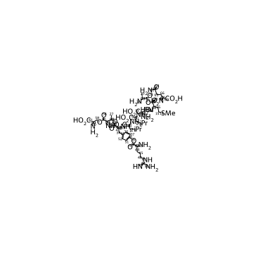 CC(C)C[C@H](N)C(=O)O.CC(C)C[C@H](N)C(=O)O.CC[C@H](C)[C@H](N)C(=O)O.CSCC[C@H](N)C(=O)OC(=O)[C@H](C)N.C[C@@H](OC(=O)[C@@H](N)Cc1ccc(OC(=O)[C@@H](N)CCCNC(=N)N)cc1)[C@H](N)C(=O)OC[C@H](N)C(=O)O.NC(=O)CC[C@H](N)C(=O)O